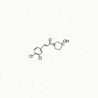 O=C(C=Cc1ccc(Cl)c(Cl)c1)N1CCC[C@H](O)C1